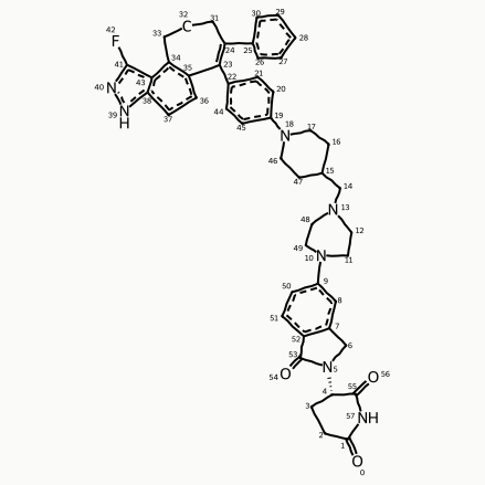 O=C1CC[C@H](N2Cc3cc(N4CCN(CC5CCN(c6ccc(C7=C(c8ccccc8)CCCc8c7ccc7[nH]nc(F)c87)cc6)CC5)CC4)ccc3C2=O)C(=O)N1